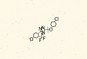 COc1ccc(-c2nnc(C(C)(C)Oc3ccc(Cl)cc3)n2C)c(C(F)(F)F)c1